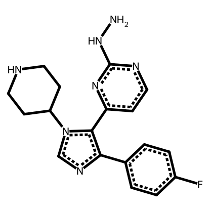 NNc1nccc(-c2c(-c3ccc(F)cc3)ncn2C2CCNCC2)n1